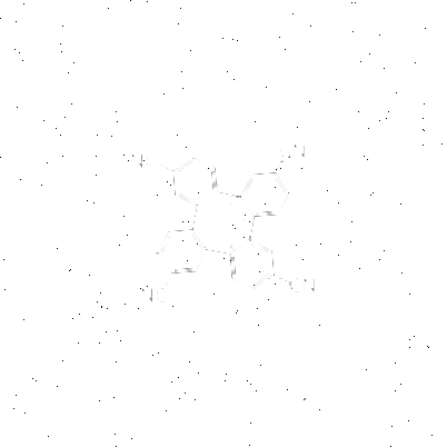 N#Cc1ccc2c(c1)-c1ccc(C#N)cc1-c1ccc(C#N)cc1-c1ccc(C#N)cc1-2